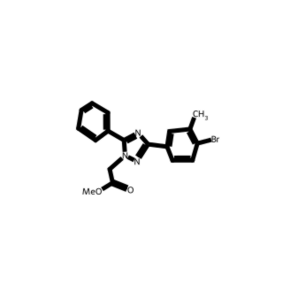 COC(=O)Cn1nc(-c2ccc(Br)c(C)c2)nc1-c1ccccc1